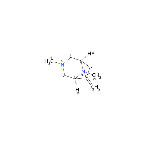 C=C1C[C@@H]2CN(C)C[C@H]1N2C